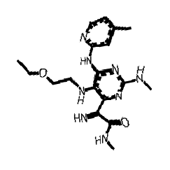 CCOCCNc1c(Nc2cc(C)ccn2)nc(NC)nc1C(=N)C(=O)NC